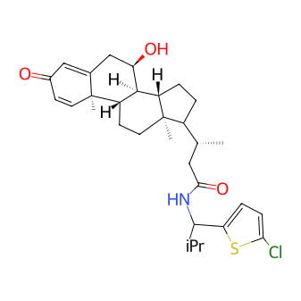 CC(C)C(NC(=O)C[C@@H](C)C1CC[C@H]2[C@@H]3[C@H](O)CC4=CC(=O)C=C[C@]4(C)[C@H]3CC[C@]12C)c1ccc(Cl)s1